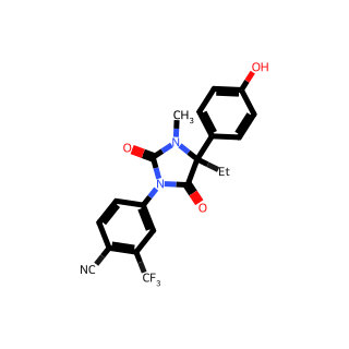 CCC1(c2ccc(O)cc2)C(=O)N(c2ccc(C#N)c(C(F)(F)F)c2)C(=O)N1C